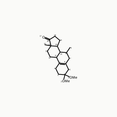 COC1(OC)CCC2=C(CC(C)C3C2CCC2(C)C(=O)CCC32)C1